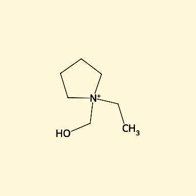 CC[N+]1(CO)CCCC1